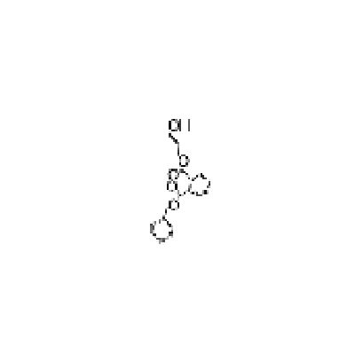 O=C(OCC=CO)c1ccccc1C(=O)OCc1ccccc1